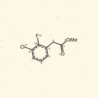 COC(=O)Cc1cccc(Cl)c1F